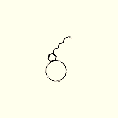 CCCCCCc1ccc2c(c1)OCCOCCOCCOCCO2